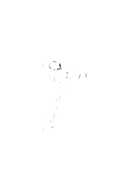 C=CC(=O)OCCOCCOC(S)OC(C)(C)C(=O)c1ccc(CC)cc1